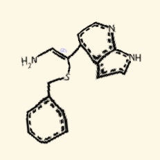 N/C=C(\SCc1ccccc1)c1ccnc2[nH]ccc12